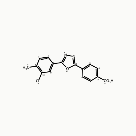 Cc1ccc(-c2nnc(-c3ccc(C(=O)O)cc3)o2)cc1Cl